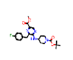 COC(=O)c1cnc(NC2CCN(C(=O)OC(C)(C)C)CC2)c(Cc2ccc(F)cc2)n1